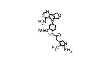 COc1cc(-n2c3c(c4ncnc(N)c42)COC3)ccc1NC(=O)Cc1cnn(C)c1C(F)(F)F